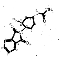 NC(=O)O[C@@H]1CC[C@@H](N2C(=O)c3ccccc3C2=O)[C@@H](F)C1